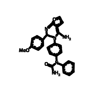 COc1ccc(C2N=c3occc3=C(N)N2c2ccc(N(C(N)=O)c3ccccc3)cc2)cc1